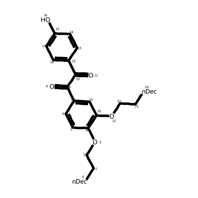 CCCCCCCCCCCCOc1ccc(C(=O)C(=O)c2ccc(O)cc2)cc1OCCCCCCCCCCCC